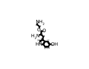 NCCOC(=O)C(N)Cc1c[nH]c2ccc(O)cc12